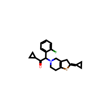 O=C(C1CC1)C(c1ccccc1F)N1CCC2=C(CC(=C3CC3)S2)C1